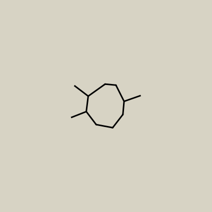 CC1CCCC(C)C(C)CC1